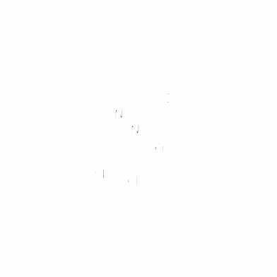 O=c1c2c(c3cccnc3n1-c1ccc(Cl)c(Cl)c1)SCC2